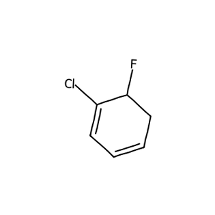 FC1CC=CC=C1Cl